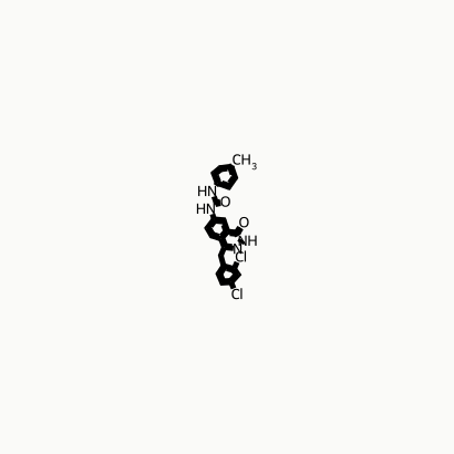 Cc1ccc(NC(=O)Nc2ccc3c(Cc4ccc(Cl)cc4Cl)n[nH]c(=O)c3c2)cc1